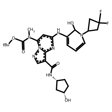 CN(C(=O)OC(C)(C)C)c1cc(NC2=CC=CN(C3CC(F)(F)C3)C2O)nc2c(C(=O)N[C@@H]3CC[C@H](O)C3)cnn12